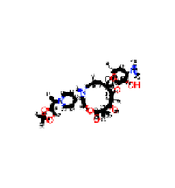 CO[C@]1(C)C[C@@H](C)CN(C)[C@@H](C2CCN(C(C)C3COC(C)(C)O3)CC2)COC(=O)C(C)(C)C(=O)[C@H](C)[C@H]1O[C@@H]1O[C@H](C)C[C@H](N(C)C)[C@H]1O